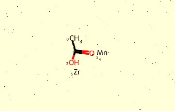 CC(=O)O.[Mn].[Zr]